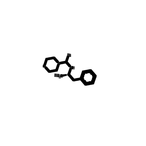 [CH2]CC(N[C@H](Cc1ccccc1)C(=O)O)N1CCOCC1